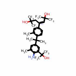 Cc1cc(/C(=C/C(O)(C(F)(F)F)C(F)(F)F)CC(O)(C(F)(F)F)C(F)(F)F)ccc1C(C)(C)c1cc(C)c(N)c(C(O)(C(F)(F)F)C(F)(F)F)c1